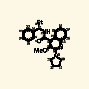 CC[C@H](NC(=O)c1c(OC)c(N2CCCC2)nc2ccccc12)c1ccccc1